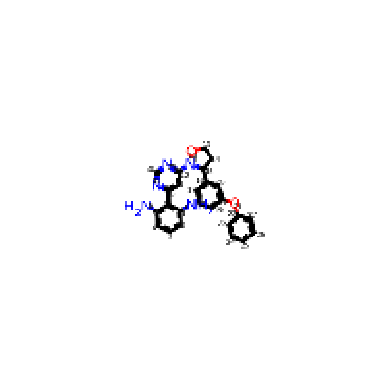 Nc1cccc(N)c1-c1cc(N2OCCC2c2cccc(Oc3ccccc3)c2)ncn1